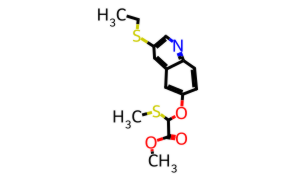 CCSc1cnc2ccc(OC(SC)C(=O)OC)cc2c1